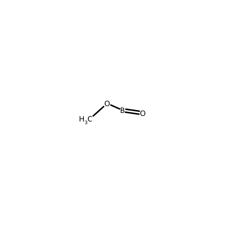 COB=O